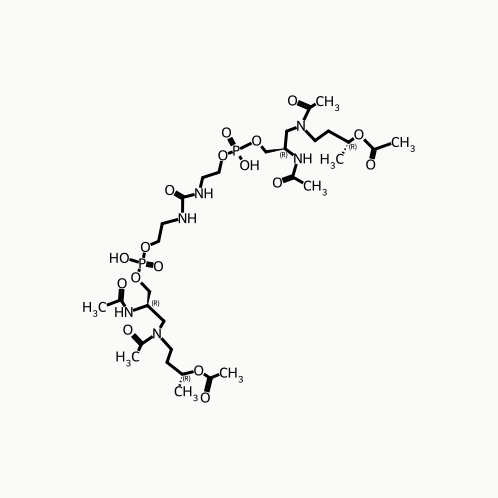 CC(=O)N[C@@H](COP(=O)(O)OCCNC(=O)NCCOP(=O)(O)OC[C@@H](CN(CC[C@@H](C)OC(C)=O)C(C)=O)NC(C)=O)CN(CC[C@@H](C)OC(C)=O)C(C)=O